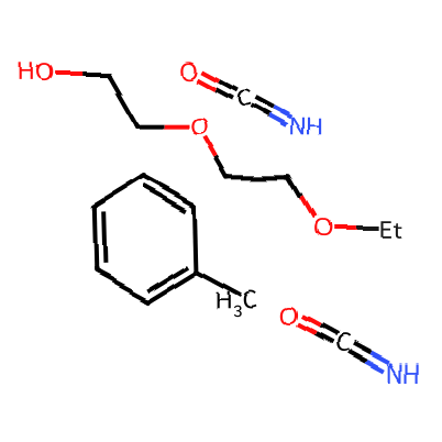 CCOCCOCCO.Cc1ccccc1.N=C=O.N=C=O